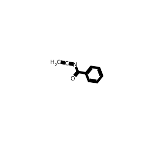 C=C=NC(=O)c1ccccc1